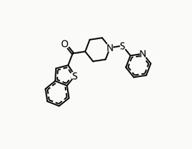 O=C(c1cc2ccccc2s1)C1CCN(Sc2ccccn2)CC1